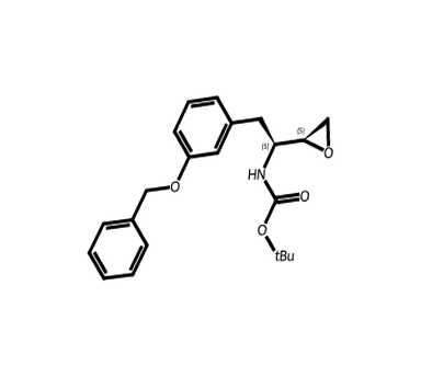 CC(C)(C)OC(=O)N[C@@H](Cc1cccc(OCc2ccccc2)c1)[C@H]1CO1